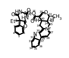 CCC1(c2ccccc2)C(=O)NC(=O)NC1=O.COC(=O)C1=CO[C@@H](C)[C@H]2C[n+]3ccc4c([n-]c5ccccc54)c3C[C@H]12